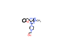 Cn1ncc2c(C3(N)Cc4ccccc4O3)nc(N3CCN(CCO)CC3)nc21